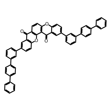 O=c1c2cc(-c3cccc(-c4ccc(-c5ccccc5)cc4)c3)ccc2oc2c1ccc1oc3ccc(-c4cccc(-c5ccc(-c6ccccc6)cc5)c4)cc3c(=O)c12